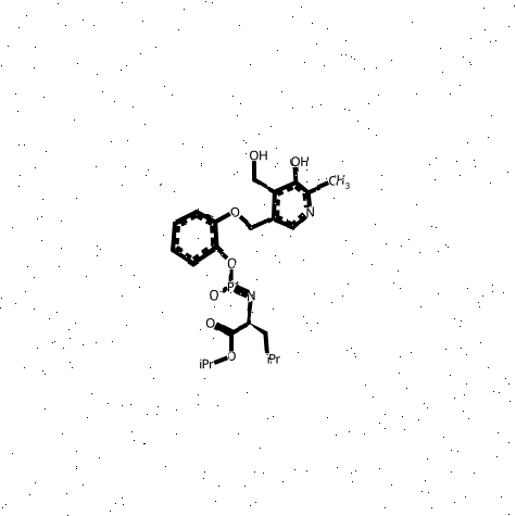 Cc1ncc(COc2ccccc2O[P+]([O-])=N[C@@H](CC(C)C)C(=O)OC(C)C)c(CO)c1O